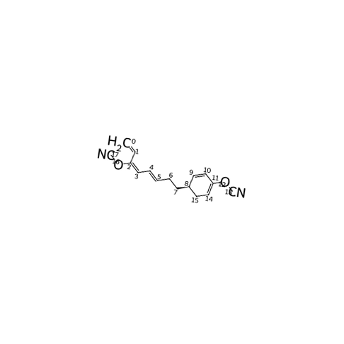 C=C/C(=C\C=C\CC[C@H]1C=CC(OC#N)=CC1)OC#N